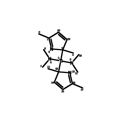 CC1=N[C](C)([Ti]([N](C)C)([N](C)C)[C]2(C)C=CC(C)=N2)C=C1